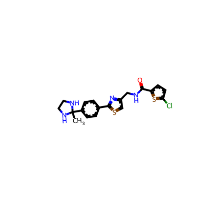 CC1(c2ccc(-c3nc(CNC(=O)c4ccc(Cl)s4)cs3)cc2)NCCN1